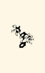 Cc1cn([C@H]2C[C@H](OP(=O)(O)O)[C@@H](COc3ccccc3[N+](=O)[O-])O2)c(=O)[nH]c1=O